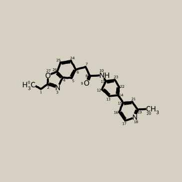 CCc1nc2cc(CC(=O)Nc3ccc(-c4ccnc(C)c4)cc3)ccc2o1